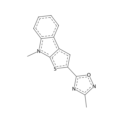 Cc1noc(-c2cc3c4ccccc4n(C)c3s2)n1